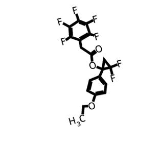 CCOc1ccc(C2(OC(=O)Cc3c(F)c(F)c(F)c(F)c3F)CC2(F)F)cc1